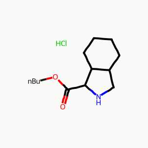 CCCCOC(=O)C1NCC2CCCCC21.Cl